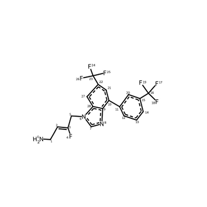 NC/C=C(\F)Cn1cnc2c(-c3cccc(C(F)(F)F)c3)cc(C(F)(F)F)cc21